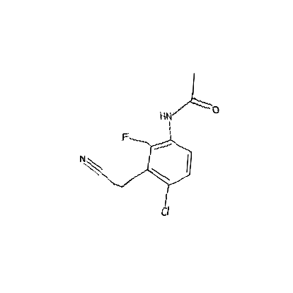 CC(=O)Nc1ccc(Cl)c(CC#N)c1F